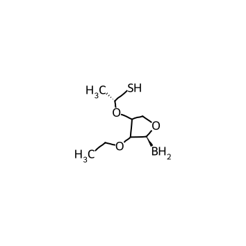 B[C@@H]1OCC(O[C@H](C)S)C1OCC